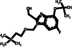 CC(C)(C)Oc1cc(F)cc2c1nc(CO)n2COCC[Si](C)(C)C